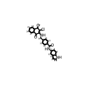 O=C(Nc1ccc2[nH]ncc2c1)c1ccc(CNC2=C(Cl)C(=O)c3ccccc3C2=O)cc1